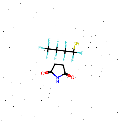 FC(F)(F)C(F)(F)C(F)(F)C(F)(F)S.O=C1CCC(=O)N1